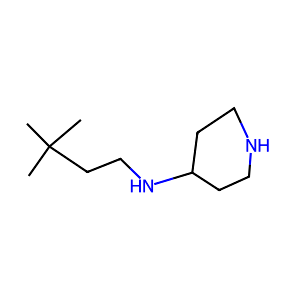 CC(C)(C)CCNC1CCNCC1